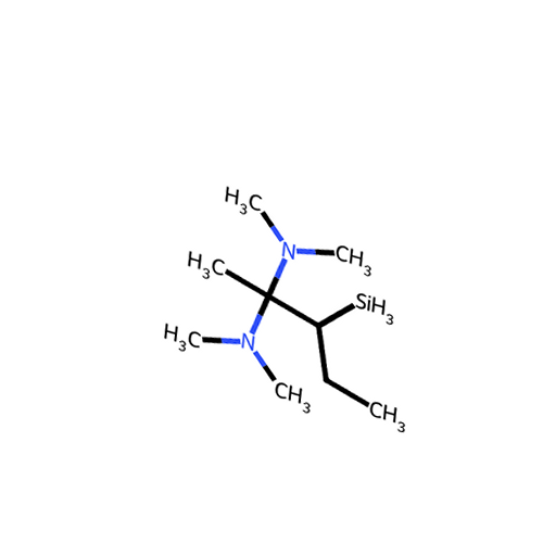 CCC([SiH3])C(C)(N(C)C)N(C)C